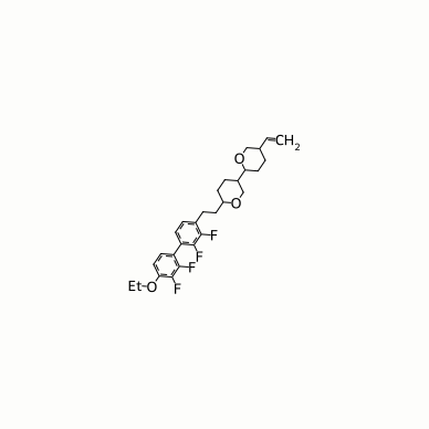 C=CC1CCC(C2CCC(CCc3ccc(-c4ccc(OCC)c(F)c4F)c(F)c3F)OC2)OC1